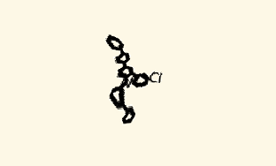 Clc1ccc2c(c1)c1cc(-c3ccc(-c4ccccc4)cc3)ccc1n2-c1cccc(-c2ccccc2)c1